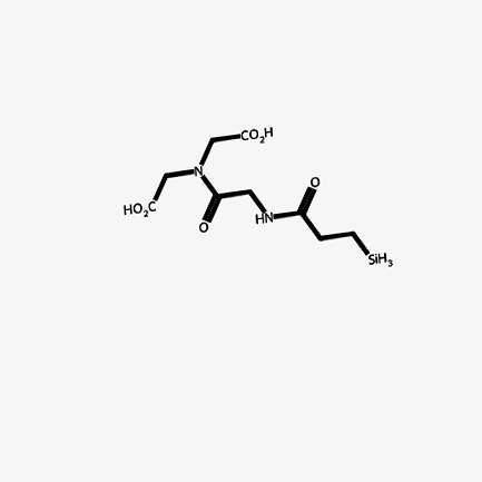 O=C(O)CN(CC(=O)O)C(=O)CNC(=O)CC[SiH3]